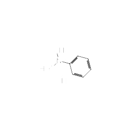 CN(C)c1ccccc1.I